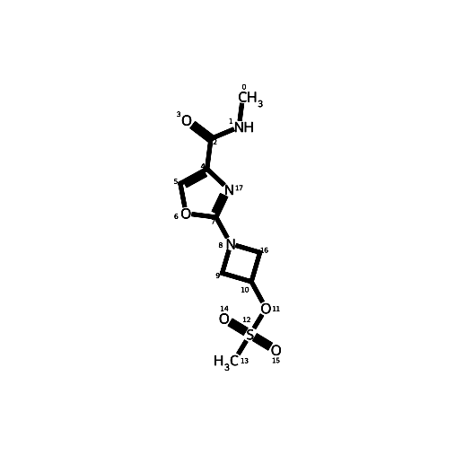 CNC(=O)c1coc(N2CC(OS(C)(=O)=O)C2)n1